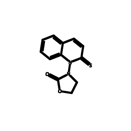 O=C1OCCN1n1c(=S)ccc2ccccc21